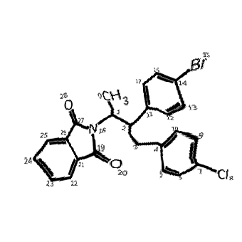 CC(C(Cc1ccc(Cl)cc1)c1ccc(Br)cc1)N1C(=O)c2ccccc2C1=O